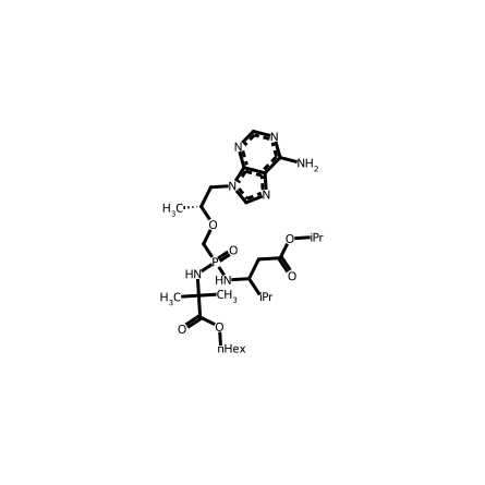 CCCCCCOC(=O)C(C)(C)NP(=O)(CO[C@H](C)Cn1cnc2c(N)ncnc21)NC(CC(=O)OC(C)C)C(C)C